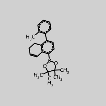 Cc1ccccc1-c1ccc(B2OC(C)(C)C(C)(C)O2)c2c1CCC=C2